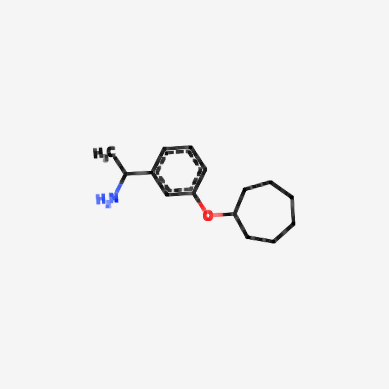 CC(N)c1cccc(OC2CCCCCC2)c1